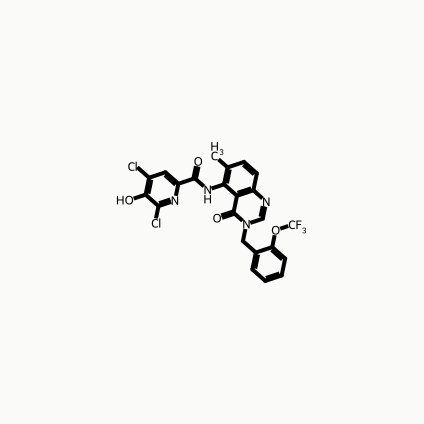 Cc1ccc2ncn(Cc3ccccc3OC(F)(F)F)c(=O)c2c1NC(=O)c1cc(Cl)c(O)c(Cl)n1